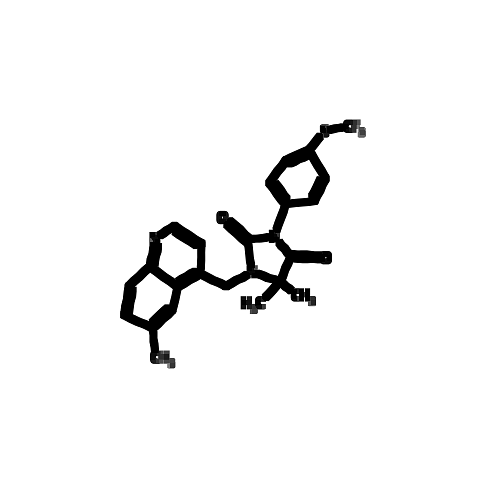 Cc1ccc2nccc(CN3C(=O)N(c4ccc(SC(F)(F)F)cc4)C(=O)C3(C)C)c2c1